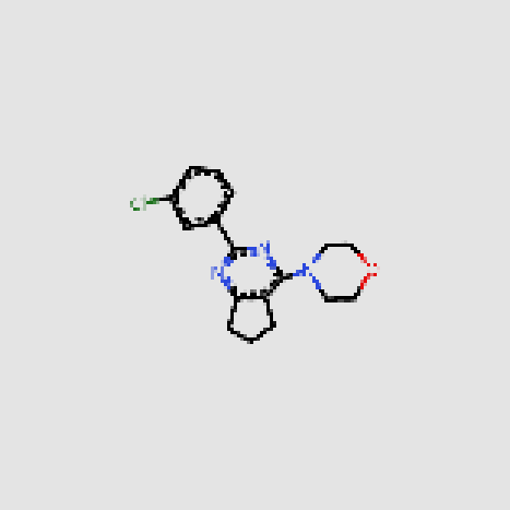 Clc1cccc(-c2nc3c(c(N4CCOCC4)n2)CCC3)c1